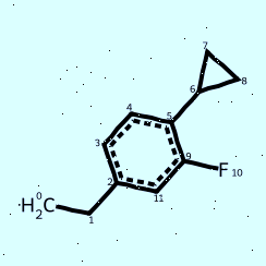 [CH2]Cc1ccc(C2CC2)c(F)c1